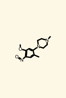 COc1cc(N2CCN(C)CC2)c(C)cc1N=O